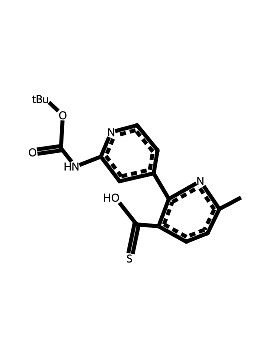 Cc1ccc(C(O)=S)c(-c2ccnc(NC(=O)OC(C)(C)C)c2)n1